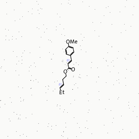 CC/C=C/CCOC(=O)/C=C/c1ccc(OC)cc1